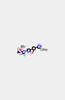 COc1cc(-c2ccc3c(c2)COc2nc(N4CCC(N(C(=O)OC(C)(C)C)C5(C)CC5)C4)ccc2-3)cnn1